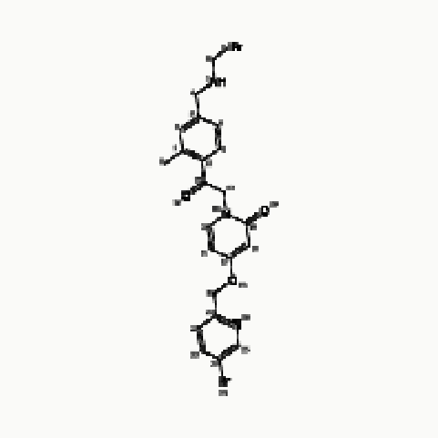 Cc1cc(CNCC(C)C)ccc1C(=O)Cn1ccc(OCc2ccc(Br)cn2)cc1=O